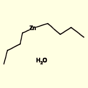 CCC[CH2][Zn][CH2]CCC.O